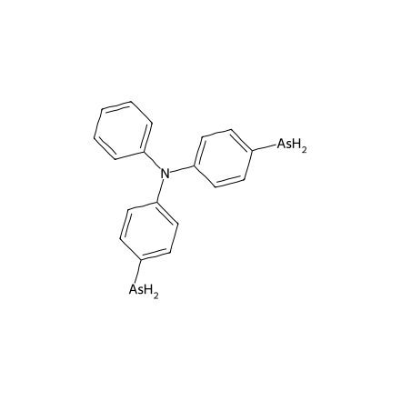 [AsH2]c1ccc(N(c2ccccc2)c2ccc([AsH2])cc2)cc1